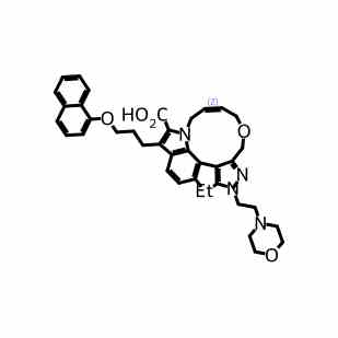 CCc1c2c(nn1CCN1CCOCC1)COC/C=C\Cn1c(C(=O)O)c(CCCOc3cccc4ccccc34)c3ccc(C)c-2c31